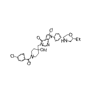 CC[C@H]1CN[C@H](c2ccc(-n3c(Cl)cc4c(=O)n(CC5(O)CCN(C(=O)c6ccc(Cl)cc6)CC5)cnc43)cc2)CO1